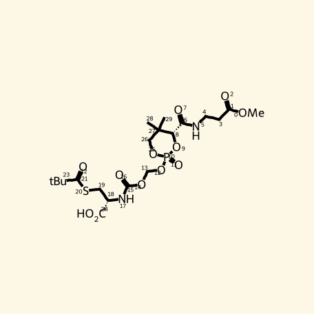 COC(=O)CCNC(=O)[C@@H]1OP(=O)(OCOC(=O)N[C@@H](CSC(=O)C(C)(C)C)C(=O)O)OCC1(C)C